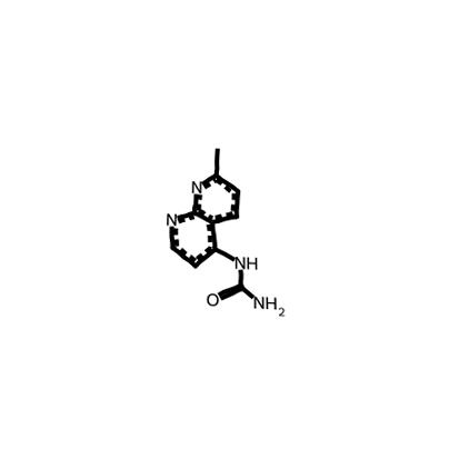 Cc1ccc2c(NC(N)=O)ccnc2n1